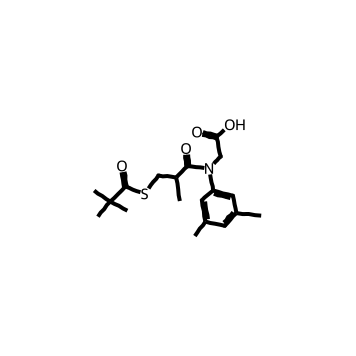 Cc1cc(C)cc(N(CC(=O)O)C(=O)C(C)CSC(=O)C(C)(C)C)c1